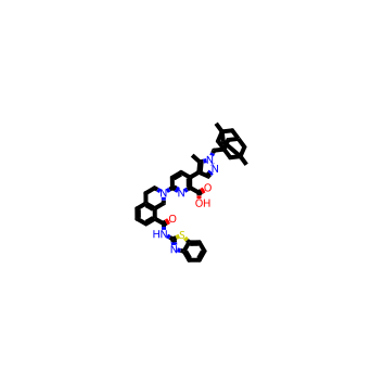 Cc1c(-c2ccc(N3CCc4cccc(C(=O)Nc5nc6ccccc6s5)c4C3)nc2C(=O)O)cnn1CC12CC3CC(C)(CC(C)(C3)C1)C2